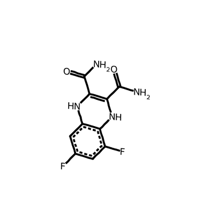 NC(=O)C1=C(C(N)=O)Nc2c(F)cc(F)cc2N1